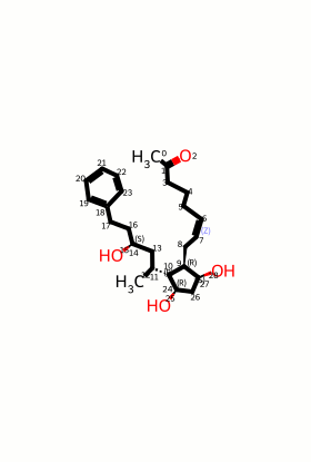 CC(=O)CCC/C=C\C[C@@H]1[C@@H](C(C)C[C@@H](O)CCc2ccccc2)[C@H](O)C[C@@H]1O